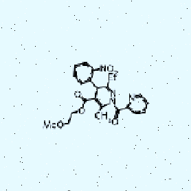 CCC1=NN(C(=O)c2ccccn2)C(C)=C(C(=O)OCCOC)C1c1ccccc1[N+](=O)[O-]